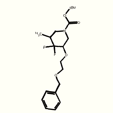 CC1CN(C(=O)OC(C)(C)C)CC(OCCOCc2ccccc2)C1(F)F